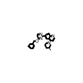 C[C@H]1CCCN(c2ccnc3ccc(-c4nccc(OCc5ccccc5)n4)cc23)C1